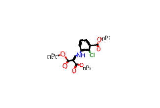 CCCOC(=O)C(=CNc1cccc(C(=O)OCCC)c1Cl)C(=O)OCCC